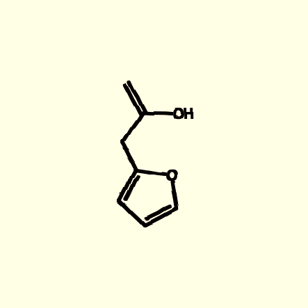 C=C(O)Cc1ccco1